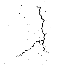 CCCCCCCCCCCCCC(=O)OCC(CCOCCCC)OC(=O)CCCCCCCCCCCCC